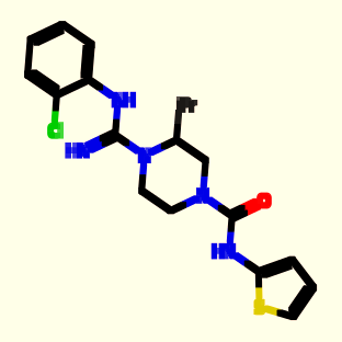 CC(C)C1CN(C(=O)Nc2cccs2)CCN1C(=N)Nc1ccccc1Cl